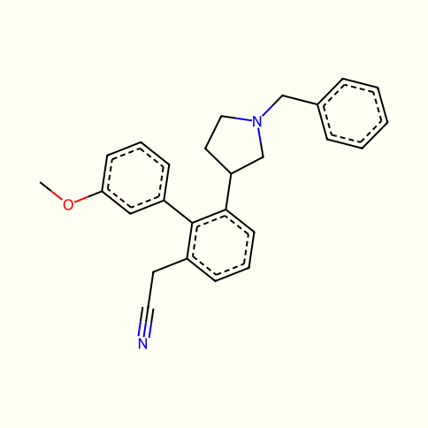 COc1cccc(-c2c(CC#N)cccc2C2CCN(Cc3ccccc3)C2)c1